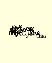 C[n+]1c2ccc(OCC(O/N=C(\C(=O)O)c3csc(NC(=O)OC(C)(C)C)n3)C(=O)OC(C)(C)C)cc2cn1CC(O)CNC(=O)OC(C)(C)C